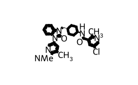 CNc1ncc(-n2c(=O)n(C[C@H]3CC[C@H](NC(=O)c4cc(Cl)cnc4C)CC3)c3ccccc32)cc1C